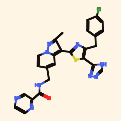 Cc1nn2ccc(CNC(=O)c3cnccn3)cc2c1-c1nc(Cc2ccc(Cl)cc2)c(-c2nnc[nH]2)s1